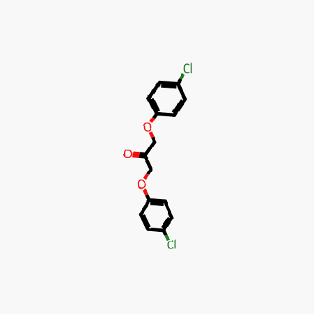 O=C(COc1ccc(Cl)cc1)COc1ccc(Cl)cc1